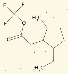 [CH2]CC1C[CH]C(C)C1CC(=O)OC(F)(F)F